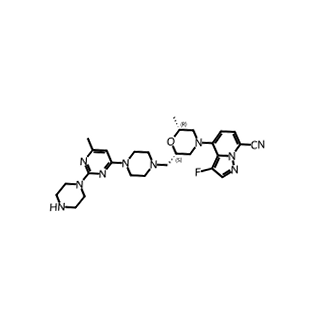 Cc1cc(N2CCN(C[C@H]3CN(c4ccc(C#N)n5ncc(F)c45)C[C@@H](C)O3)CC2)nc(N2CCNCC2)n1